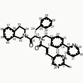 Cc1ncc(C=CC(=O)N(Cc2ccc(-c3ccccn3)cc2)[C@@H](Cc2ccccc2)C(=O)N2CCc3ccccc3C2)cn1